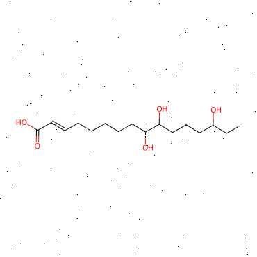 CCC(O)CCCC(O)C(O)CCCCCC=CC(=O)O